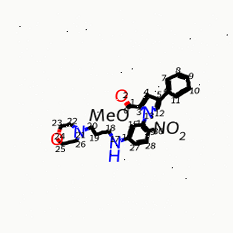 COC(=O)c1cc(-c2ccccc2)cn1-c1cc(NCCCN2CCOCC2)ccc1[N+](=O)[O-]